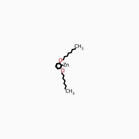 CCCCCCCCOc1cccc(OCCCCCCCC)[c]1[Zn]